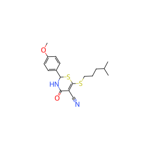 COc1ccc(C2NC(=O)C(C#N)=C(SCCCC(C)C)S2)cc1